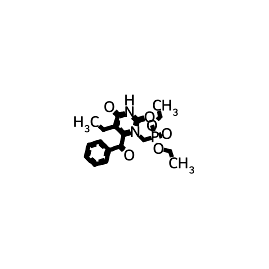 CCOP(=O)(Cn1c(C(=O)c2ccccc2)c(CC)c(=O)[nH]c1=O)OCC